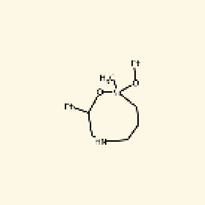 CCO[Si]1(C)CCCNCC(CC)O1